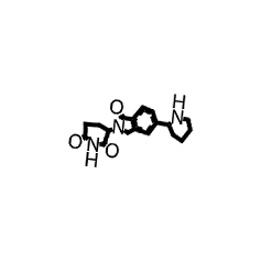 O=C1CCC(N2Cc3cc(C4CCCCN4)ccc3C2=O)C(=O)N1